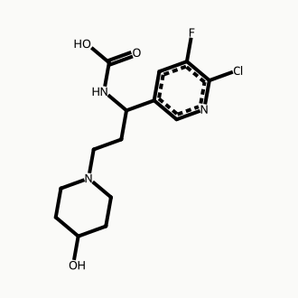 O=C(O)NC(CCN1CCC(O)CC1)c1cnc(Cl)c(F)c1